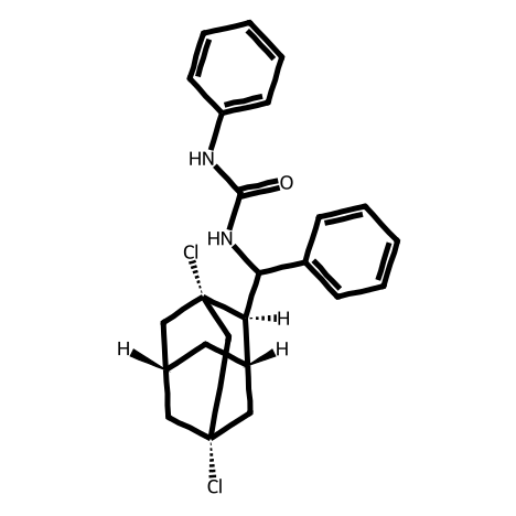 O=C(Nc1ccccc1)NC(c1ccccc1)[C@H]1[C@H]2C[C@@H]3C[C@](Cl)(C2)C[C@@]1(Cl)C3